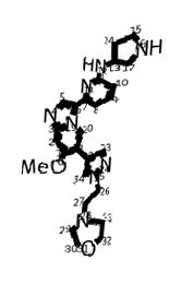 COc1cc2ncc(-c3cccc(NC4CCNC4)n3)n2cc1-c1cnn(CCN2CCOCC2)c1